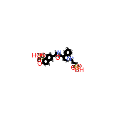 COc1ccc2cc(-c3cnc(-c4cc[n+](CCCS(=O)(=O)O)c5ccccc45)o3)ccc2c1S(=O)(=O)O